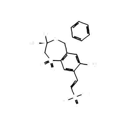 CCCC[C@]1(CC)CS(=O)(=O)c2cc(/C=C/P(=O)(O)O)c(OC)cc2[C@@H](c2ccccc2)N1